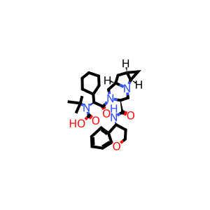 CC(C)(C)N(C(=O)O)[C@H](C(=O)N1C[C@H]2C[C@H]3C[C@H]3N2C[C@H]1C(=O)N[C@@H]1CCOc2ccccc21)C1CCCCC1